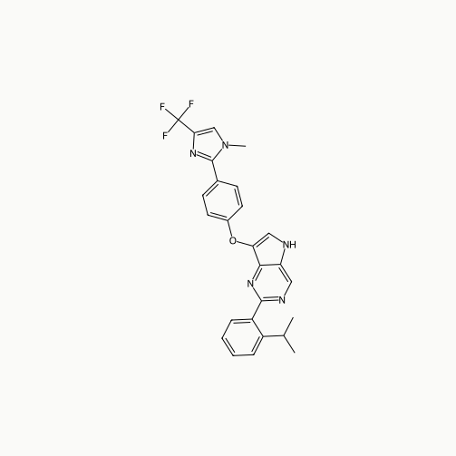 CC(C)c1ccccc1-c1ncc2[nH]cc(Oc3ccc(-c4nc(C(F)(F)F)cn4C)cc3)c2n1